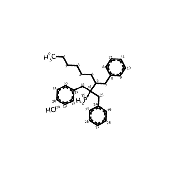 CCCCCCC(Cc1ccccc1)C(P)(Cc1ccccc1)Cc1ccccc1.Cl